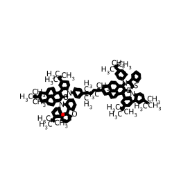 CC(C)(C)c1ccc(N2c3c(sc4ccccc34)B3c4c(c5ccc6cc(C(C)(C)CCC(C)(C)c7ccc(N8B9c%10ccc%11oc%12ccccc%12c%11c%10N(c%10ccc(C(C)(C)C)cc%10)c%10c9c(c9ccc%11cc(C(C)(C)C)cc%12ccc%10c9c%11%12)-c9cc(C(C)(C)C)ccc98)cc7)cc7ccc(c42)c5c67)-c2cc(C(C)(C)C)cc4c5cc(C(C)(C)C)ccc5n3c24)cc1